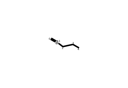 C=BCCC